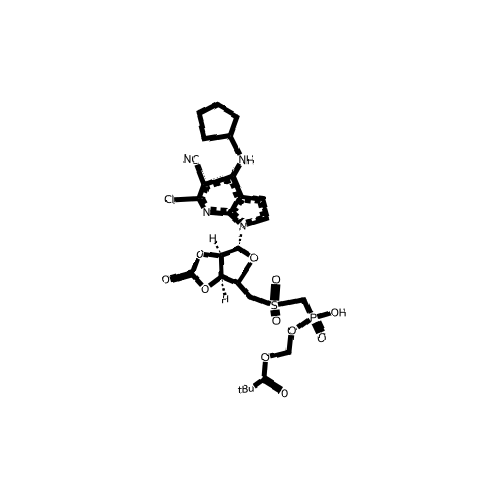 CC(C)(C)C(=O)OCOP(=O)(O)CS(=O)(=O)CC1O[C@@H](n2ccc3c(NC4CCCC4)c(C#N)c(Cl)nc32)[C@@H]2OC(=O)O[C@H]12